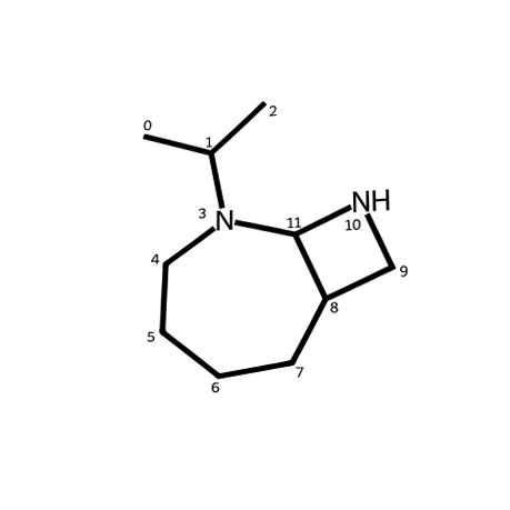 CC(C)N1CCCCC2CNC21